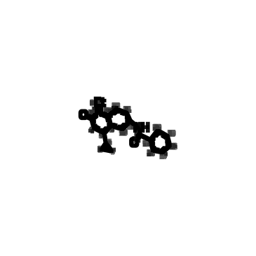 CCn1c(=O)cc(C2CC2)c2cc(NC(=O)c3ccccc3)ccc21